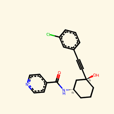 O=C(N[C@H]1CCC[C@@](O)(C#Cc2cccc(Cl)c2)C1)c1ccncc1